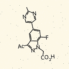 CC(=O)c1nn(CC(=O)O)c2c(F)cc(-c3cnc(C)nc3)cc12